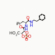 CC(C)C[C@H](NC(=O)[C@H]1OS(=O)(=O)O[C@@H]1C(=O)O)C(=O)NCCc1ccccc1